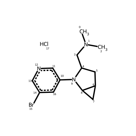 CN(C)CC1CC2CC2N1c1cncc(Br)c1.Cl